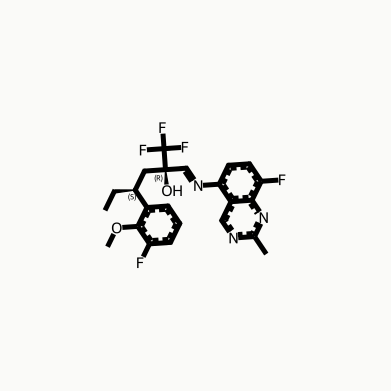 CC[C@@H](C[C@@](O)(C=Nc1ccc(F)c2nc(C)ncc12)C(F)(F)F)c1cccc(F)c1OC